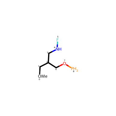 COCC(CNF)COP